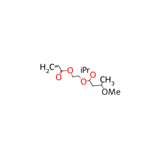 C=CC(=O)OCCOC(CC(C)OC)OC(C)C